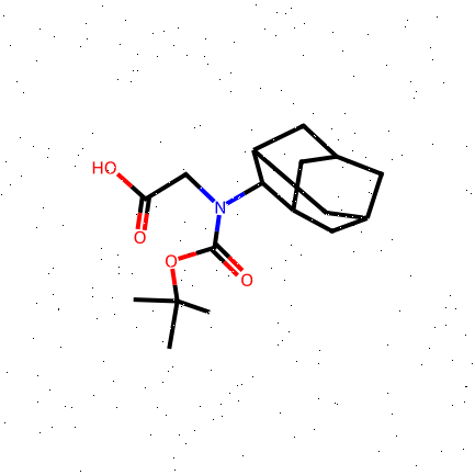 CC(C)(C)OC(=O)N(CC(=O)O)C1C2CC3CC(C2)CC1C3